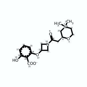 C[N+]1(C)CCO[C@@H](CC(=O)N2CC(Oc3cccc(O)c3C(=O)[O-])C2)C1